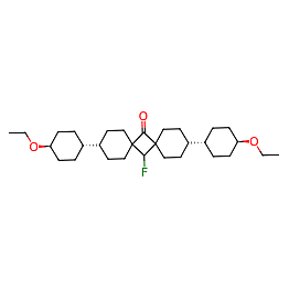 CCO[C@H]1CC[C@H](C2CCC3(CC2)C(=O)C2(CCC([C@H]4CC[C@H](OCC)CC4)CC2)C3F)CC1